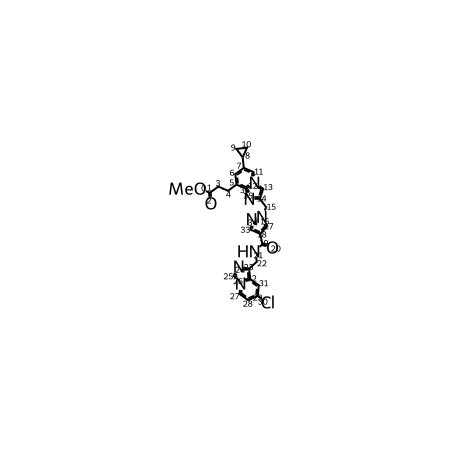 COC(=O)CCc1cc(C2CC2)cn2cc(Cn3cc(C(=O)NCc4ncn5ccc(Cl)cc45)cn3)nc12